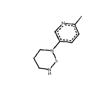 Cc1ccc(N2CCCNS2)cn1